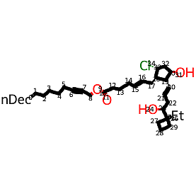 CCCCCCCCCCCCCCCC#CCOC(=O)CCCC=CC[C@@H]1[C@@H](C=CC[C@H](O)C2(CC)CCC2)[C@H](O)C[C@H]1Cl